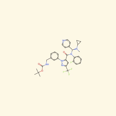 CN(C1CC1)[C@H](c1ccncc1)N(C(=O)c1cc(C(F)(F)F)nn1-c1cccc(CNC(=O)OC(C)(C)C)c1)c1ccccc1F